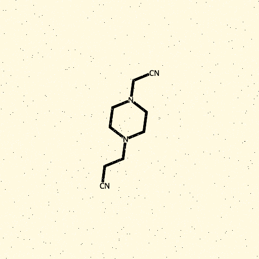 N#CCCN1CCN(CC#N)CC1